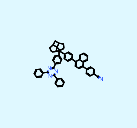 N#Cc1ccc(-c2ccc(-c3ccc(C4(c5ccc(-c6nc(-c7ccccc7)nc(-c7ccccc7)n6)cc5)C5CC6CC7CC4CC67C5)cc3)c3ccccc23)cc1